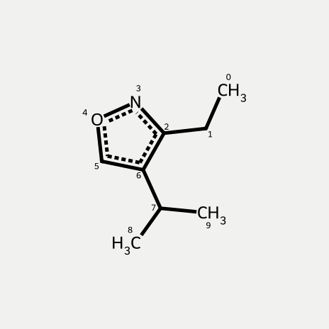 CCc1nocc1C(C)C